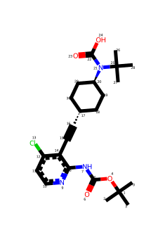 CC(C)(C)OC(=O)Nc1nccc(Cl)c1C#C[C@H]1CC[C@H](N(C(=O)O)C(C)(C)C)CC1